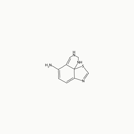 NC1=CC=C2N=CSC23NCNC=C13